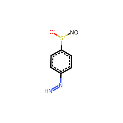 N=Nc1ccc([S+]([O-])N=O)cc1